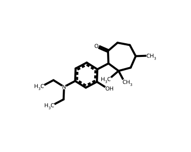 CCN(CC)c1ccc(C2C(=O)CCC(C)CC2(C)C)c(O)c1